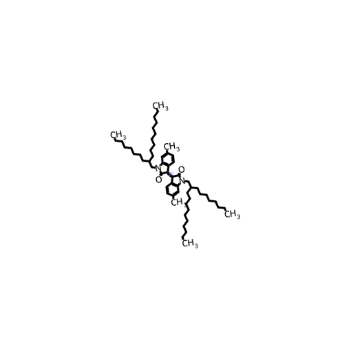 CCCCCCCCCCC(CCCCCCCC)CN1C(=O)/C(=C2/C(=O)N(CC(CCCCCCCC)CCCCCCCCCC)c3cc(C)ccc32)c2ccc(C)cc21